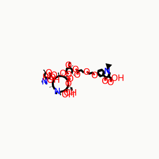 CC[C@H]1OC(=O)[C@H](C)[C@@H](O[C@H]2C[C@@](C)(OC)[C@@H](OC(=O)CCOCCOc3ccc4c(c3)c(=O)c(C(=O)O)cn4C3CC3)[C@H](C)O2)[C@H](C)[C@@H](O[C@@H]2O[C@H](C)C[C@H](N(C)C)[C@@H]2O)[C@](C)(O)C[C@@H](C)CN(C)[C@H](C)[C@@H](O)[C@]1(C)O